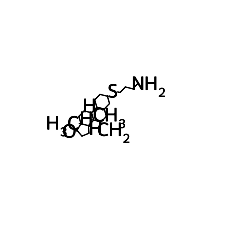 C=C1CC2C[C@H](SCCCN)CC[C@]2(C)[C@H]2CC[C@]3(C)C(=O)CC[C@H]3[C@H]12